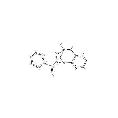 CC12CC(c3ccccc3O1)N(C(=O)c1ccccc1)C2